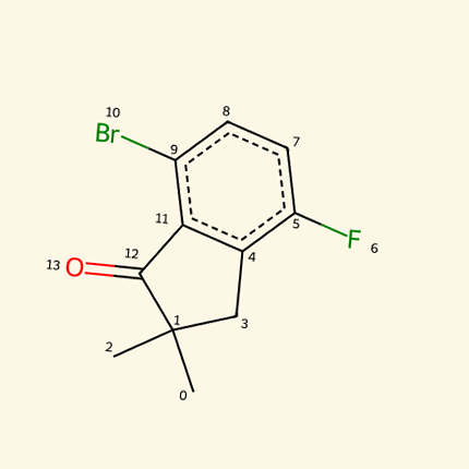 CC1(C)Cc2c(F)ccc(Br)c2C1=O